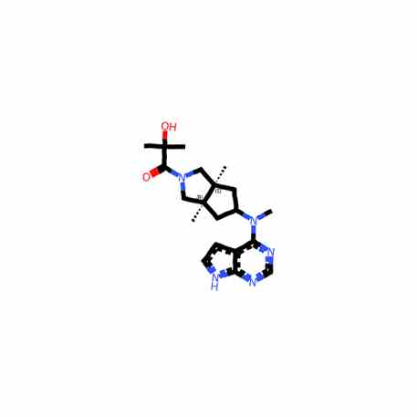 CN(c1ncnc2[nH]ccc12)C1C[C@@]2(C)CN(C(=O)C(C)(C)O)C[C@@]2(C)C1